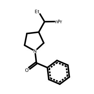 CCCC(CC)C1CCN(C(=O)c2ccccc2)C1